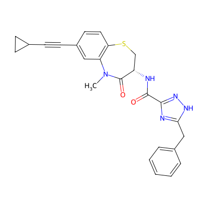 CN1C(=O)[C@@H](NC(=O)c2n[nH]c(Cc3ccccc3)n2)CSc2ccc(C#CC3CC3)cc21